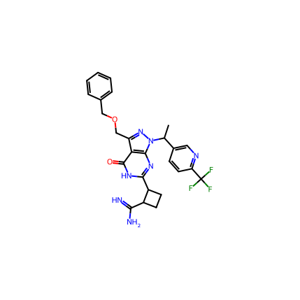 CC(c1ccc(C(F)(F)F)nc1)n1nc(COCc2ccccc2)c2c(=O)[nH]c(C3CCC3C(=N)N)nc21